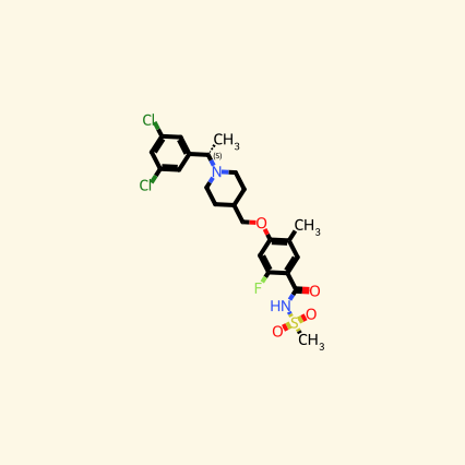 Cc1cc(C(=O)NS(C)(=O)=O)c(F)cc1OCC1CCN([C@@H](C)c2cc(Cl)cc(Cl)c2)CC1